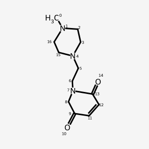 CN1CCN(CCN2CC(=O)C=CC2=O)CC1